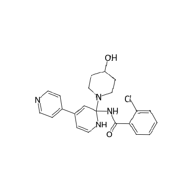 O=C(NC1(N2CCC(O)CC2)C=C(c2ccncc2)C=CN1)c1ccccc1Cl